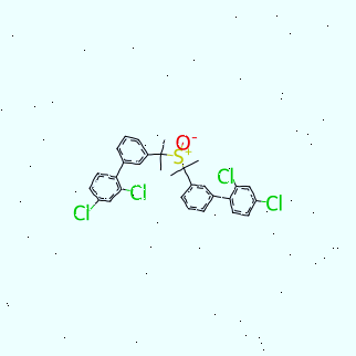 CC(C)(c1cccc(-c2ccc(Cl)cc2Cl)c1)[S+]([O-])C(C)(C)c1cccc(-c2ccc(Cl)cc2Cl)c1